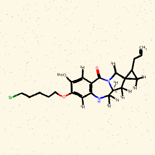 [2H]c1c2c(c([2H])c(OC)c1OCCCCCBr)C(=O)N1C([2H])C3(C(CC=C)C3([2H])[2H])C([2H])([2H])[C@@]1([2H])C([2H])([2H])N2